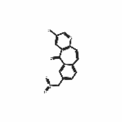 O=c1c2cc(C[SH](=O)=O)ccc2ccc2ncc(Cl)cc12